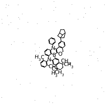 Cc1cccc(C)c1N1c2cc3c(cc2B2C4=C(c5cc(C67CC8CCC(C6)C87)ccc5CO4)N(c4ccccc4)c4cccc1c42)C(C)(C)CCC3(C)C